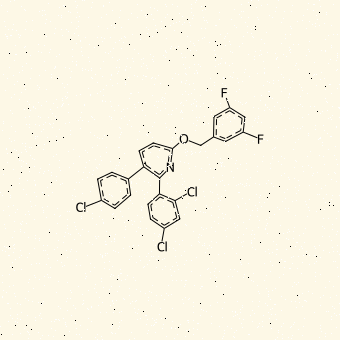 Fc1cc(F)cc(COc2ccc(-c3ccc(Cl)cc3)c(-c3ccc(Cl)cc3Cl)n2)c1